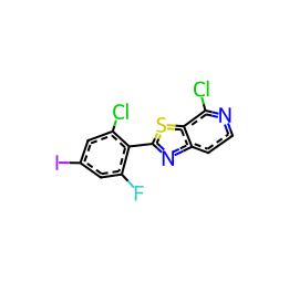 Fc1cc(I)cc(Cl)c1-c1nc2ccnc(Cl)c2s1